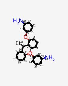 CCC(c1ccccc1Oc1cccc(N)c1)c1ccccc1Oc1cccc(N)c1